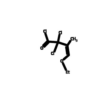 CCOC=C(C)C(Cl)(Cl)C(=O)Cl